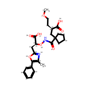 COCC[C@H](CC1(C(=O)NO[C@@H](Cc2nc(C)c(-c3ccccc3)o2)C(=O)O)CCCC1)C(=O)O